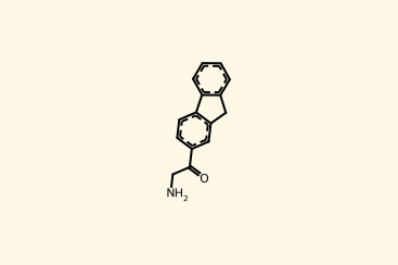 NCC(=O)c1ccc2c(c1)Cc1ccccc1-2